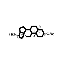 CC(=O)O[C@@H]1CC[C@]2(C)C3CC[C@]45C=CC[C@@H](O)C4CCC5C3CC[C@H]2C1